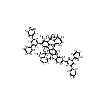 CC1(C)c2ccccc2-n2c3ccc(-c4cc(-c5ccccc5)cc(-c5ccccc5)c4)cc3c3cc4c(c1c32)c1cc(-c2cc(-c3ccccc3)cc(-c3ccccc3)c2)cc2c1n4-c1ccccc1C2(C)C